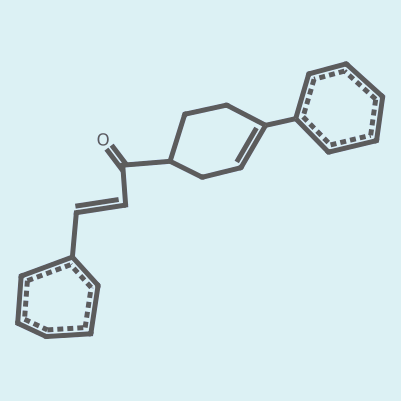 O=C(C=Cc1ccccc1)C1CC=C(c2ccccc2)CC1